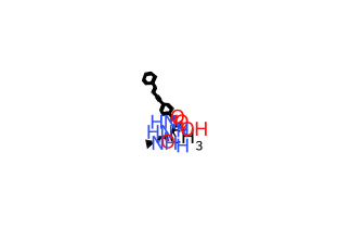 C[C@@H](NC(=O)CNC1CC1)[C@H](NC(=O)c1ccc(C#C/C=C/c2ccccc2)cc1)C(=O)NO